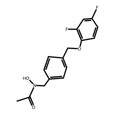 CC(=O)N(O)Cc1ccc(COc2ccc(F)cc2F)cc1